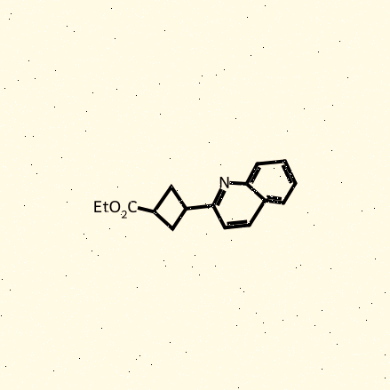 CCOC(=O)C1CC(c2ccc3ccccc3n2)C1